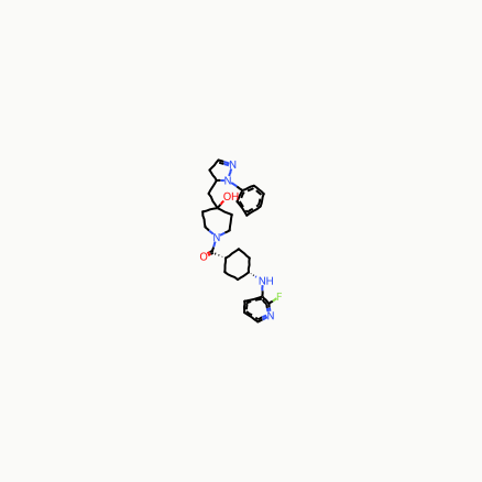 O=C([C@H]1CC[C@@H](Nc2cccnc2F)CC1)N1CCC(O)(CC2CC=NN2c2ccccc2)CC1